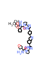 CC(C)(C)OC(=O)N[C@@H](C(=O)N1CCC[C@H]1c1ncc(-c2ccc(-c3cc4ccc(-c5cnc([C@@H]6CCCN6C(=O)[C@@H](N)C6CCOCC6)[nH]5)cc4cn3)cc2)[nH]1)c1ccccc1